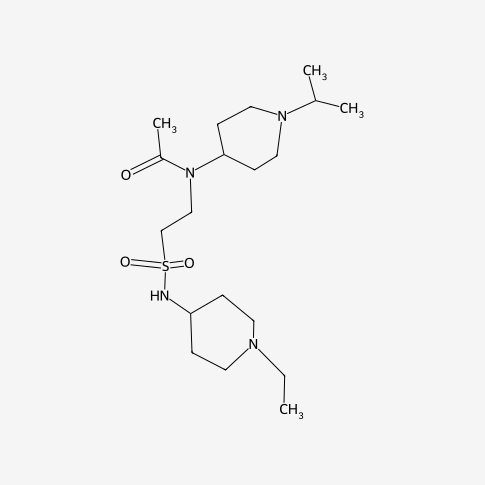 CCN1CCC(NS(=O)(=O)CCN(C(C)=O)C2CCN(C(C)C)CC2)CC1